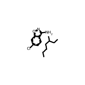 CCCCC(C)CC.Nc1noc2cc(Cl)ccc12